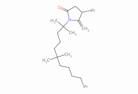 C=C1C(C(C)C)CC(=O)N1C(C)(C)CCCC(C)(C)CCCCC(C)C